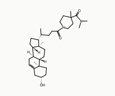 CC(CCC(=O)N1CCC(C)(C(=O)N(C)C)CC1)[C@H]1CC[C@H]2[C@@H]3CC=C4C[C@@H](O)CC[C@]4(C)[C@H]3CC[C@]12C